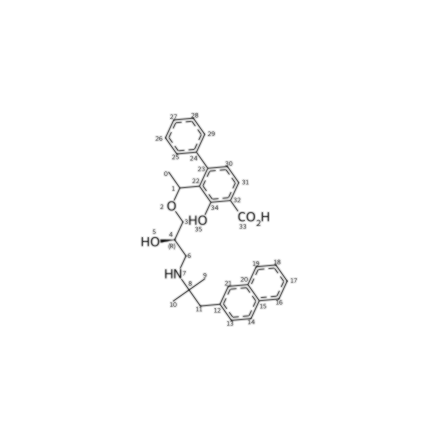 CC(OC[C@H](O)CNC(C)(C)Cc1ccc2ccccc2c1)c1c(-c2ccccc2)ccc(C(=O)O)c1O